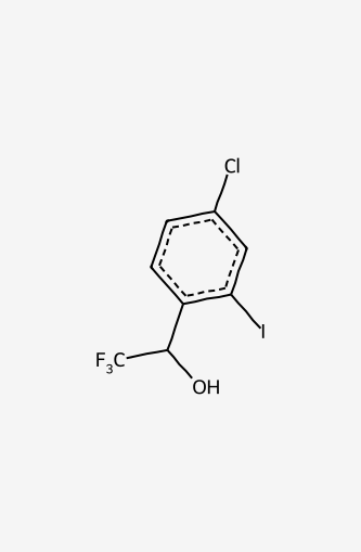 OC(c1ccc(Cl)cc1I)C(F)(F)F